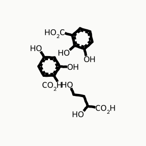 O=C(O)C(O)CCO.O=C(O)c1ccc(O)cc1O.O=C(O)c1cccc(O)c1O